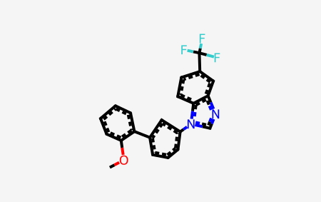 COc1ccccc1-c1cccc(-n2cnc3cc(C(F)(F)F)ccc32)c1